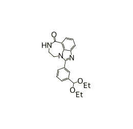 CCOC(OCC)c1cccc(-c2nc3cccc4c3n2CCNC4=O)c1